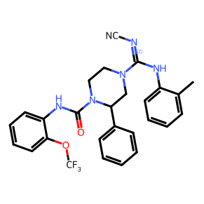 Cc1ccccc1N/C(=N/C#N)N1CCN(C(=O)Nc2ccccc2OC(F)(F)F)C(c2ccccc2)C1